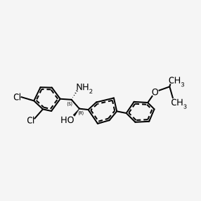 CC(C)Oc1cccc(-c2ccc([C@@H](O)[C@@H](N)c3ccc(Cl)c(Cl)c3)cc2)c1